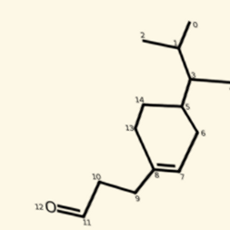 CC(C)C(C)C1CC=C(CCC=O)CC1